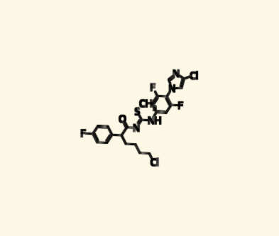 CSC(=NC(=O)C(CCCCCl)c1ccc(F)cc1)Nc1cc(F)c(-n2cnc(Cl)c2)c(F)c1